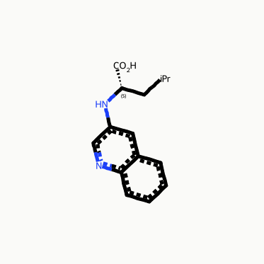 CC(C)C[C@H](Nc1cnc2ccccc2c1)C(=O)O